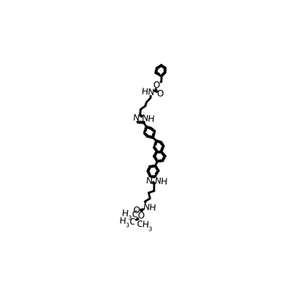 CC(C)(C)OC(=O)NCCCCc1nc2ccc(-c3ccc4ccc(-c5ccc(-c6cnc(CCCCNC(=O)OCc7ccccc7)[nH]6)cc5)cc4c3)cc2[nH]1